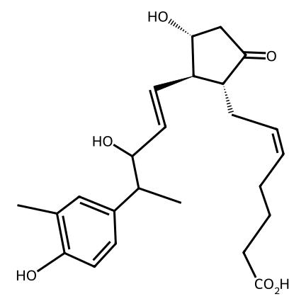 Cc1cc(C(C)C(O)/C=C/[C@H]2[C@H](O)CC(=O)[C@@H]2C/C=C\CCCC(=O)O)ccc1O